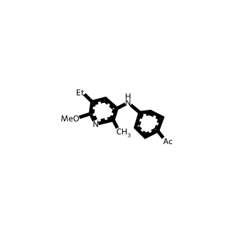 CCc1cc(Nc2ccc(C(C)=O)cc2)c(C)nc1OC